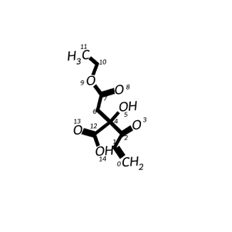 C=CC(=O)C(O)(CC(=O)OCC)C(=O)O